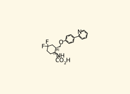 O=C(O)N[C@H]1CCC(F)(F)C[C@H]1COc1ccc(-c2ccccn2)cc1